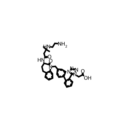 CC(C)(CC(=O)N[C@@H]1CCc2ccccc2N(Cc2ccc(-c3ccccc3-c3nnnn3CC(=O)O)cc2)C1=O)NCCN